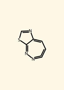 C1=CC=c2ncsc2=NN=1